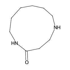 O=C1CCNCCCCCCN1